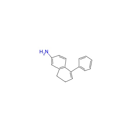 Nc1ccc2c(c1)CCC=C2c1ccccc1